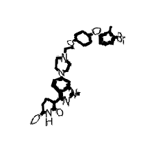 Cc1c(Br)cccc1OC1CCC(OCCN2CCN(c3ccc4c(C5CCC(=O)NC5=O)nn(C)c4c3)CC2)CC1